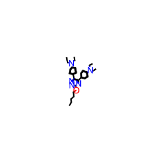 CCCCCOc1nnc(-c2ccc(N(CC)CC)cc2)c(-c2ccc(N(CC)CC)cc2)n1